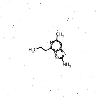 CCCc1nc(C)cc2nc(N)nn12